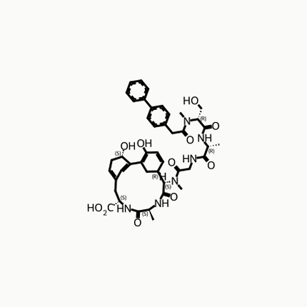 C[C@@H]1NC(=O)[C@@H](N(C)C(=O)CNC(=O)[C@@H](C)NC(=O)[C@@H](CO)N(C)C(=O)Cc2ccc(-c3ccccc3)cc2)[C@H]2C=CC(O)=C(C2)C2=CC(=CC[C@@H]2O)C[C@@H](C(=O)O)NC1=O